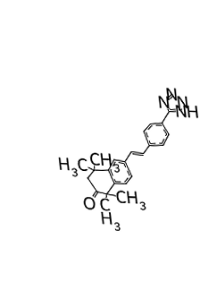 CC1(C)CC(=O)C(C)(C)c2ccc(C=Cc3ccc(-c4nnn[nH]4)cc3)cc21